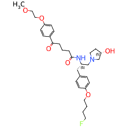 COCCOc1ccc(C(=O)CCCC(=O)N[C@@H](Cc2ccc(OCCCCF)cc2)CN2CC[C@H](O)C2)cc1